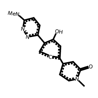 CNc1ccc(-c2ccc(-c3ccn(C)c(=O)c3)cc2O)nn1